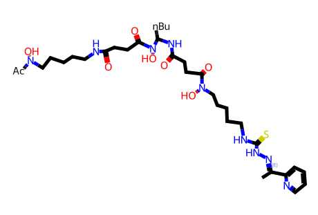 CCCCC(NC(=O)CCC(=O)N(O)CCCCCNC(=S)N/N=C(\C)c1ccccn1)N(O)C(=O)CCC(=O)NCCCCCN(O)C(C)=O